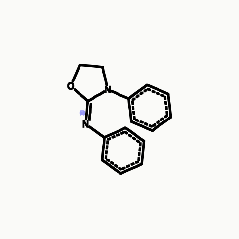 c1ccc(/N=C2/OCCN2c2ccccc2)cc1